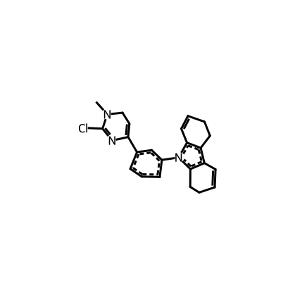 CN1CC=C(c2cccc(-n3c4c(c5c3CCC=C5)CCC=C4)c2)N=C1Cl